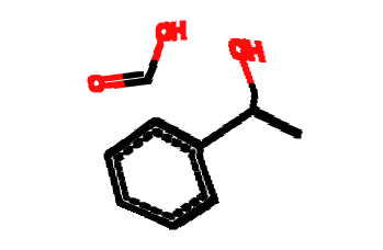 CC(O)c1ccccc1.O=CO